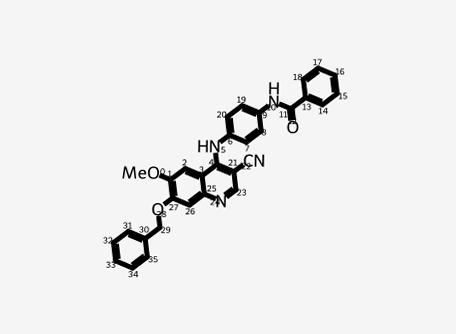 COc1cc2c(Nc3ccc(NC(=O)c4ccccc4)cc3)c(C#N)cnc2cc1OCc1ccccc1